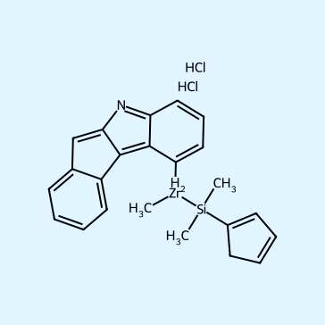 Cl.Cl.[CH3][ZrH2]([c]1cccc2c1=C1C(=Cc3ccccc31)N=2)[Si](C)(C)C1=CC=CC1